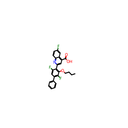 CCCCOc1c(F)c(-c2ccccc2)cc(F)c1-c1cc(C(=O)O)c2cc(F)ccc2n1